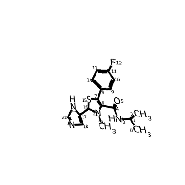 CC(C)NC(=O)C1=C(c2ccc(F)cc2)SC(c2cnc[nH]2)N1C